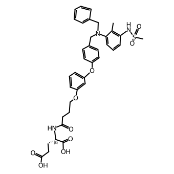 Cc1c(NS(C)(=O)=O)cccc1N(Cc1ccccc1)Cc1ccc(Oc2cccc(OCCCC(=O)N[C@@H](CCC(=O)O)C(=O)O)c2)cc1